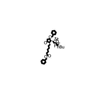 CCCCC(F)(F)C(CC[C@H]1[C@H](OCc2ccccc2)CC(=O)[C@@H]1CCCCCCC(=O)OCc1ccccc1)O[Si](C)(C)C